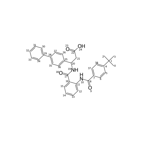 CC(C)(C)c1ccc(C(=O)Nc2ccccc2C(=O)NC(CC(=O)O)c2ccc(-c3ccccc3)cc2)cc1